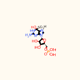 NC1=Nc2c(ncn2[C@@H]2O[C@H](COP(=O)(O)O)[C@@H](O)[C@H]2O)C(O)(S(=O)(=O)O)N1